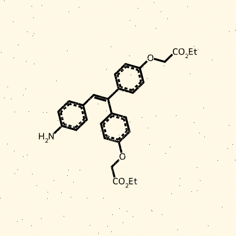 CCOC(=O)COc1ccc(C(=Cc2ccc(N)cc2)c2ccc(OCC(=O)OCC)cc2)cc1